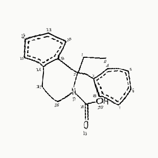 CCC1(c2ccccc2)c2ccccc2CCN1C(=O)O